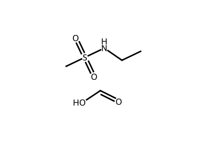 CCNS(C)(=O)=O.O=CO